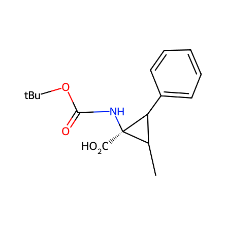 CC1C(c2ccccc2)[C@@]1(NC(=O)OC(C)(C)C)C(=O)O